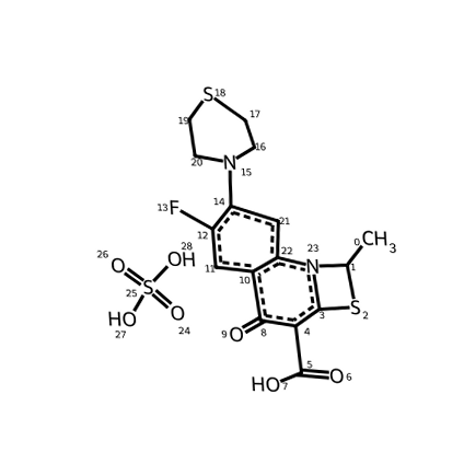 CC1Sc2c(C(=O)O)c(=O)c3cc(F)c(N4CCSCC4)cc3n21.O=S(=O)(O)O